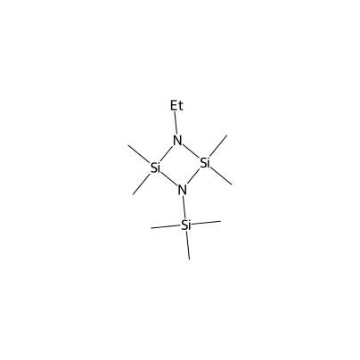 CCN1[Si](C)(C)N([Si](C)(C)C)[Si]1(C)C